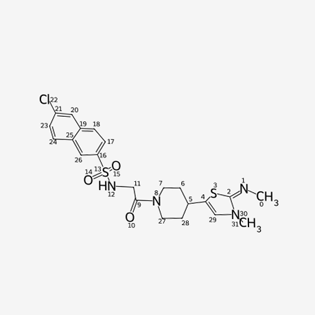 CN=c1sc(C2CCN(C(=O)CNS(=O)(=O)c3ccc4cc(Cl)ccc4c3)CC2)cn1C